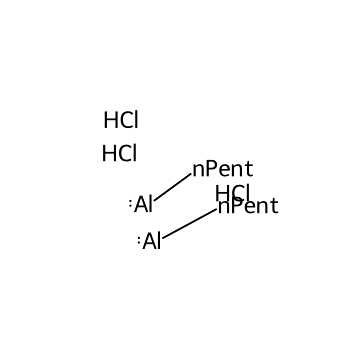 CCCC[CH2][Al].CCCC[CH2][Al].Cl.Cl.Cl